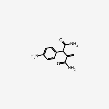 C=C(C(N)=O)C(C(N)=O)c1ccc(N)cc1